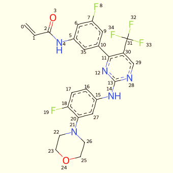 C=CC(=O)Nc1cc(F)cc(-c2nc(Nc3ccc(F)c(N4CCOCC4)c3)ncc2C(F)(F)F)c1